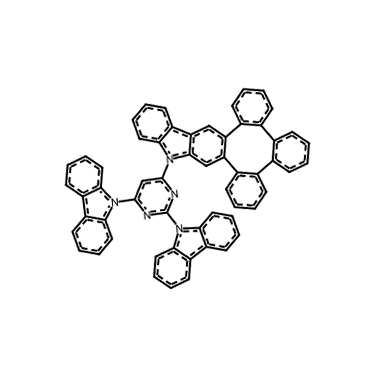 c1ccc2c(c1)-c1ccccc1-c1cc3c4ccccc4n(-c4cc(-n5c6ccccc6c6ccccc65)nc(-n5c6ccccc6c6ccccc65)n4)c3cc1-c1ccccc1-2